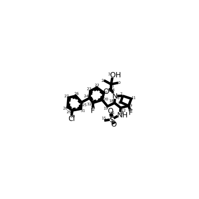 CC(C)(O)C(=O)N1C2CC(F)(C2)C(NS(C)(=O)=O)C1Cc1cccc(-c2cccc(Cl)c2)c1F